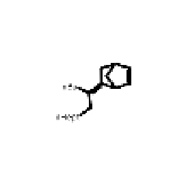 CCCCCCCCC(CCCC)=C1CC2C=CC1C2